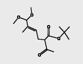 COC(OC)C(C)=CCC(C(C)=O)C(=O)OC(C)(C)C